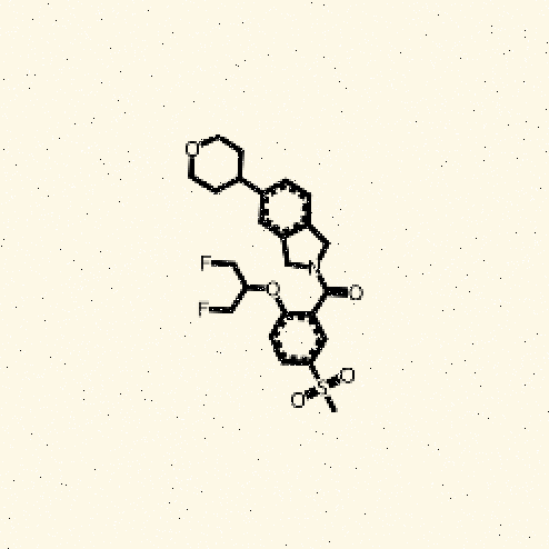 CS(=O)(=O)c1ccc(OC(CF)CF)c(C(=O)N2Cc3ccc(C4CCOCC4)cc3C2)c1